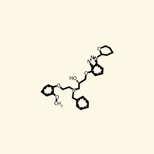 COc1ccccc1OCCN(Cc1ccccc1)C[C@@H](O)COc1cccc2c1nnn2C1CCCCO1